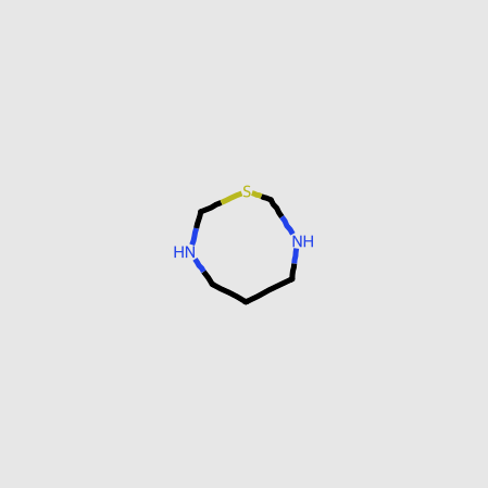 C1CNCSCNC1